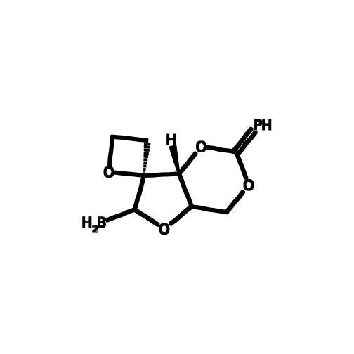 BC1OC2COC(=P)O[C@H]2[C@@]12CCO2